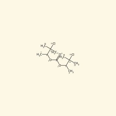 CC(OC(=O)OC(C)C(C)(C)Cl)C(C)(C)Cl